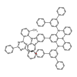 Cc1cccc(-c2nc(-c3ccccc3)nc(-c3ccccc3)n2)c1-n1c2ccccc2c2cc(-c3cc4c5c(c3)N(c3cc(-c6ccccc6)cc(-c6ccccc6)c3)c3ccccc3B5c3ccccc3N4c3cc(-c4ccccc4)cc(-c4ccccc4)c3)ccc21